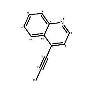 [CH2]C#Cc1ccnc2ccccc12